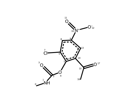 CNC(=O)Oc1c(Cl)cc([N+](=O)[O-])cc1C(C)=O